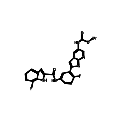 CC(C)OC(=O)Nc1cnc2nc(-c3cc(NC(=O)c4cc5cccc(F)c5[nH]4)ccc3F)cn2c1